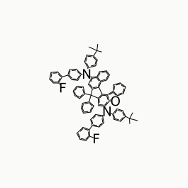 CC(C)(C)c1ccc(N(c2ccc(-c3ccccc3F)cc2)c2cc3c(c4ccccc24)-c2c(cc(N(c4ccc(-c5ccccc5F)cc4)c4ccc(C(C)(C)C)cc4)c4oc5ccccc5c24)C3(c2ccccc2)c2ccccc2)cc1